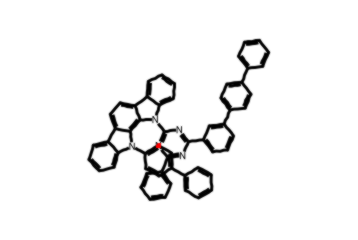 c1ccc(-c2ccc(-c3cccc(-c4nc(-c5ccccc5)nc(-n5c6ccccc6c6ccc7c8ccccc8n(-c8ccc(-c9ccccc9)cc8)c7c65)n4)c3)cc2)cc1